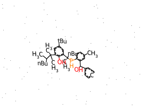 CCCCC(C)C(C)(C)c1cc(C(C)(C)C)cc(C(C)(CCCC)Pc2ccc(C)cc2C(O)c2ccccc2)c1O